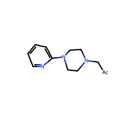 CC(=O)CN1CCN(c2ccccn2)CC1